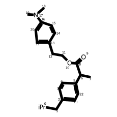 CC(C)Cc1ccc(C(C)C(=O)OCCc2ccc(N(C)C)cc2)cc1